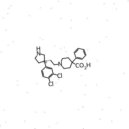 O=C(O)C1(c2ccccc2)CCN(CC[C@]2(c3ccc(Cl)c(Cl)c3)CCNC2)CC1